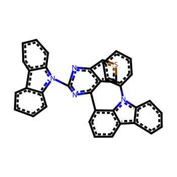 c1ccc(-n2c3ccccc3c3cccc(-c4nc(-n5c6ccccc6c6ccccc65)nc5cscc45)c32)cc1